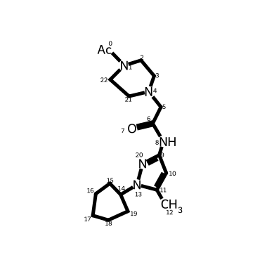 CC(=O)N1CCN(CC(=O)Nc2cc(C)n(C3CCCCC3)n2)CC1